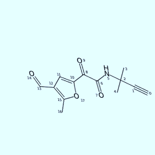 C#CC(C)(C)NC(=O)C(=O)c1cc(C=O)c(C)o1